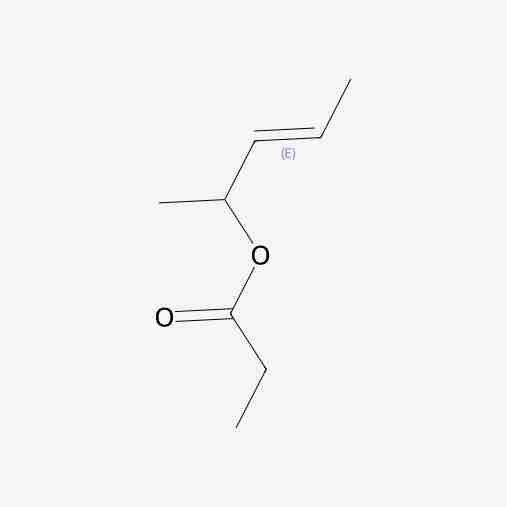 C/C=C/C(C)OC(=O)CC